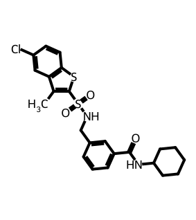 Cc1c(S(=O)(=O)NCc2cccc(C(=O)NC3CCCCC3)c2)sc2ccc(Cl)cc12